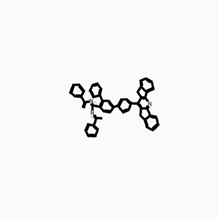 C=C(/N=C(\N=C(/C)c1ccccc1)c1ccc(-c2ccc(-c3c4c(nc5c3Cc3ccccc3-5)-c3ccccc3C4)cc2)cc1-c1ccccc1)c1ccccc1